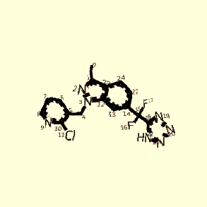 Cc1nn(Cc2cccnc2Cl)c2cc(C(F)(F)c3nnn[nH]3)ccc12